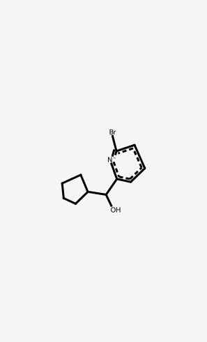 OC(c1cccc(Br)n1)C1CCCC1